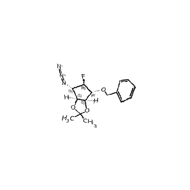 CC1(C)O[C@@H]2[C@@H](OCc3ccccc3)[C@H](F)[C@@H](N=[N+]=[N-])[C@@H]2O1